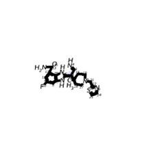 CC1(/C(C=N)=C2\Nc3cc(F)cc(C(N)=O)c3N2)CCN(Cc2nccs2)CC1